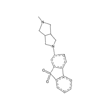 CN1CC2CN(c3ccc4c(c3)S(=O)(=O)c3ccccc3-4)CC2C1